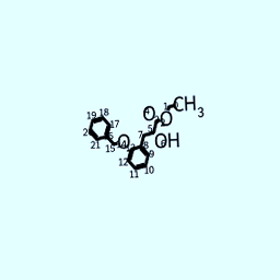 CCOC(=O)C(O)Cc1ccccc1OCc1ccccc1